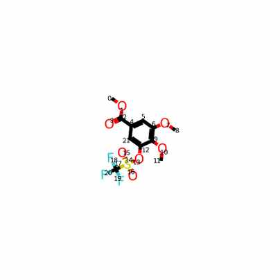 COC(=O)c1cc(OC)c(OC)c(OS(=O)(=O)C(F)(F)F)c1